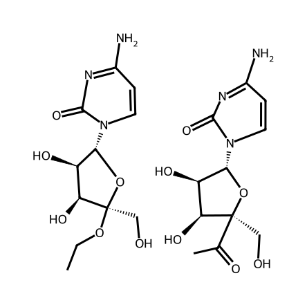 CC(=O)[C@]1(CO)O[C@@H](n2ccc(N)nc2=O)[C@H](O)[C@@H]1O.CCO[C@]1(CO)O[C@@H](n2ccc(N)nc2=O)[C@H](O)[C@@H]1O